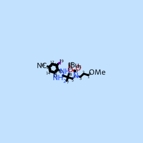 COCCCN(CC(C)(C)CNc1c(N)cc(C#N)cc1I)C(=O)OC(C)(C)C